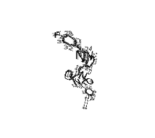 CN1C(=O)C(C)(Cc2ccccc2)N(C)C(=O)/C1=C/c1cccn2cc(-c3ccc(F)cc3)nc12